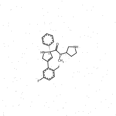 CN(C(=O)[C@@]1(c2ccccc2)C=C(c2cc(F)ccc2F)CN1)C1CCNC1